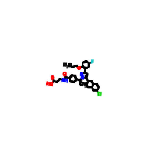 CCCOc1ccc(F)cc1-c1cc(-c2ccc3cc(Cl)ccc3c2)n([C@@H](C)c2ccc(C(=O)NCCC(=O)O)cc2)n1